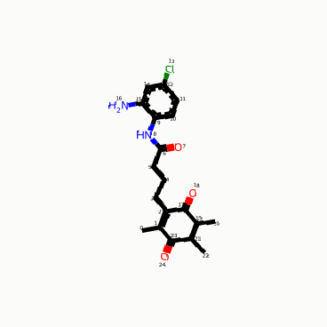 CC1=C(CCCC(=O)Nc2ccc(Cl)cc2N)C(=O)C(C)C(C)C1=O